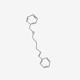 C(=C\c1ccccc1)/CCCOCc1ccccc1